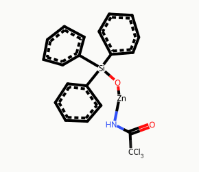 O=C([NH][Zn][O][Si](c1ccccc1)(c1ccccc1)c1ccccc1)C(Cl)(Cl)Cl